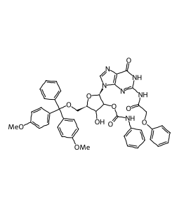 COc1ccc(C(OC[C@H]2O[C@@H](n3cnc4c(=O)[nH]c(NC(=O)COc5ccccc5)nc43)C(OC(=O)Nc3ccccc3)C2O)(c2ccccc2)c2ccc(OC)cc2)cc1